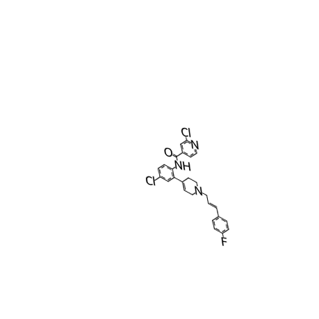 O=C(Nc1ccc(Cl)cc1C1=CCN(CC=Cc2ccc(F)cc2)CC1)c1ccnc(Cl)c1